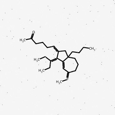 CCCCC12CCC/C(=P/C)C=C1C(=C(CC)CC)/C(=C\CCCC(C)=O)C2